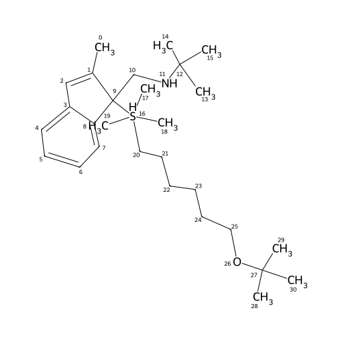 CC1=Cc2ccccc2C1(CNC(C)(C)C)[SH](C)(C)(C)CCCCCCOC(C)(C)C